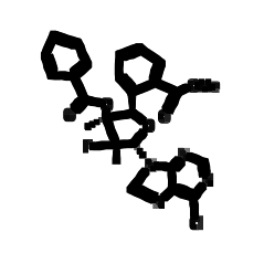 COC(=O)c1ccccc1[C@H]1O[C@H](n2cnc3c(Cl)ncnc32)[C@](C)(F)[C@@]1(C)OC(=O)c1ccccc1